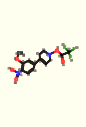 COc1cc(C2=CCN(OC(=O)C(F)(F)F)CC2)ccc1[N+](=O)[O-]